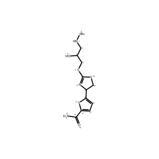 CC(C)(C)NCC(O)CSC1=NC(c2ccc(C(N)=O)s2)CS1